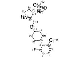 COc1cccc(F)c1[C@H]1CC[C@@H](OC[C@@H]2NCC[C@@H]2NS(C)(=O)=O)CC1